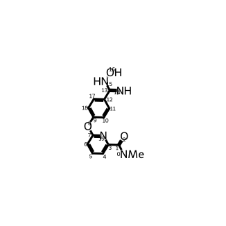 CNC(=O)c1cccc(Oc2ccc(C(=N)NO)cc2)n1